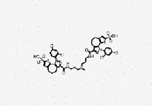 CN(CCCNC(=O)c1nn(-c2ccc(Cl)cc2Cl)c2c1CCCc1cc(S(=O)(=O)O)sc1-2)CCCNC(=O)c1nn(-c2ccc(Cl)cc2Cl)c2c1CCCc1cc(S(=O)(=O)O)sc1-2